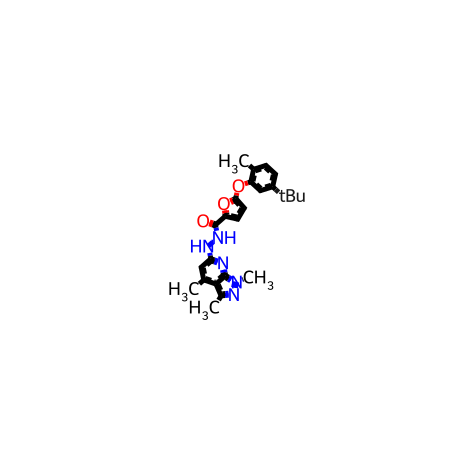 Cc1ccc(C(C)(C)C)cc1Oc1ccc(C(=O)NNc2cc(C)c3c(C)nn(C)c3n2)o1